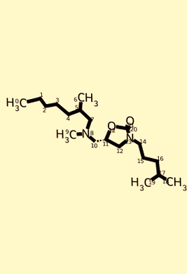 CCCCCC(C)CN(C)C[C@H]1CN(CCCC(C)C)C(=O)O1